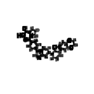 Cc1c(-c2ccc3c(c2)OCCO3)cccc1-c1ccn2c(-c3ccc(C(=O)N4CCC[C@@H]4C(=O)O)cc3)cnc2c1